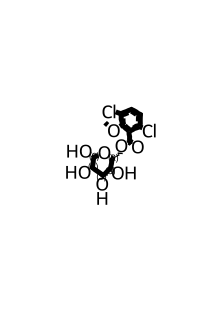 COc1c(Cl)ccc(Cl)c1C(=O)OC[C@H]1O[C@H](O)[C@H](O)[C@@H](O)[C@@H]1O